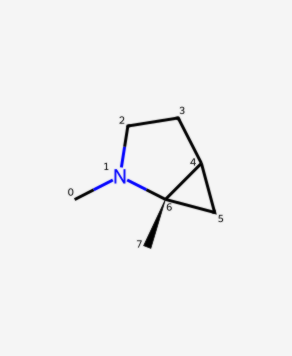 CN1CCC2C[C@@]21C